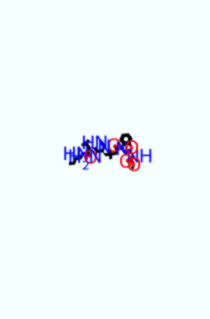 CCCCNC(=O)[C@@H](C[C@H](N)[C@H](CC(C)(C)CC(=O)N1C[C@H](NC(=O)OC)Oc2ccccc21)N=N)C(C)C